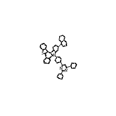 c1ccc(-c2cc(-c3ccc(-n4c5cc(-c6cccc7ccccc67)ccc5c5c6c7ccccc7sc6c6ccccc6c54)cc3)nc(-c3ccccc3)n2)cc1